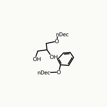 CCCCCCCCCCOCC(O)CO.CCCCCCCCCCOc1ccccc1